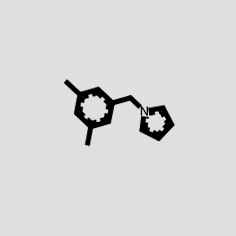 Cc1cc(C)cc(Cn2cccc2)c1